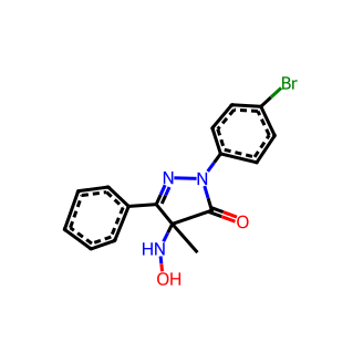 CC1(NO)C(=O)N(c2ccc(Br)cc2)N=C1c1ccccc1